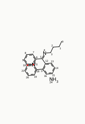 CCCCN=C(c1ccccn1)c1ccccc1-c1ccccn1.N